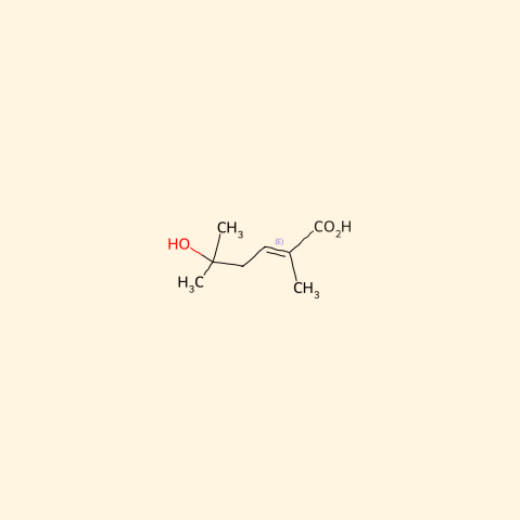 C/C(=C\CC(C)(C)O)C(=O)O